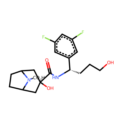 O=C(O)N1C2CCC1CC(O)(C(=O)N[C@@H](CCCO)c1cc(F)cc(F)c1)C2